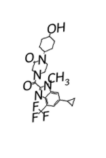 Cn1c(C(=O)N2CCN([C@H]3CC[C@H](O)CC3)C(=O)C2)nc2c(C(F)(F)F)cc(C3CC3)cc21